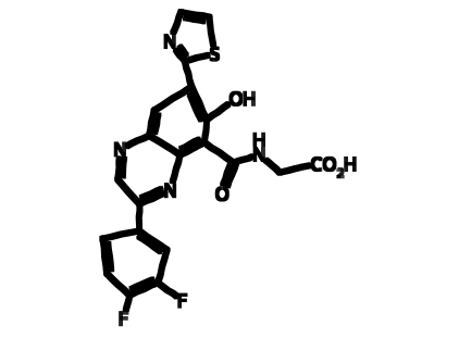 O=C(O)CNC(=O)c1c(O)c(-c2nccs2)cc2ncc(-c3ccc(F)c(F)c3)nc12